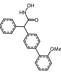 COc1ccccc1-c1ccc(C(C(=O)NO)c2ccccc2)cc1